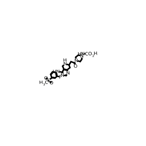 CS(=O)(=O)c1ccc(Nc2ncnc3c2CNC(CC(=O)N2CCN(NC(=O)O)CC2)C3)c(F)c1